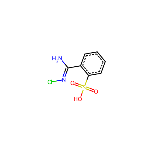 NC(=NCl)c1ccccc1S(=O)(=O)O